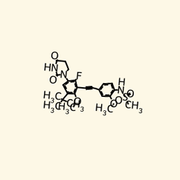 COc1cc(C#Cc2c(F)c(N3CCC(=O)NC3=O)cc(C(C)(C)C)c2OC)ccc1NS(C)(=O)=O